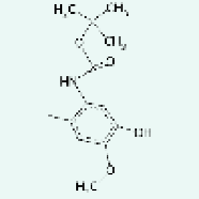 COc1cc(F)c(NC(=O)OC(C)(C)C)cc1O